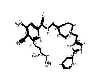 N#Cc1c(N)cc(C(=O)NCC2CCN(Cc3cnc(-c4ccccn4)s3)CC2)nc1NC[C@H](O)CO